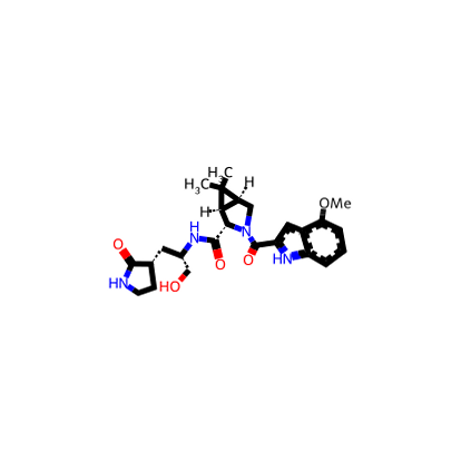 COc1cccc2[nH]c(C(=O)N3C[C@H]4[C@@H]([C@H]3C(=O)N[C@H](CO)C[C@@H]3CCNC3=O)C4(C)C)cc12